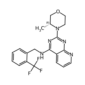 C[C@@H]1COCCN1c1nc(NCc2ccccc2C(F)(F)F)c2cccnc2n1